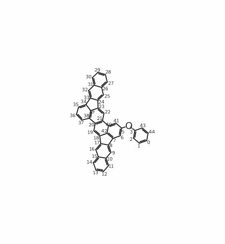 c1ccc(Oc2cc3c4cc5ccccc5cc4c4cc5c(cc6c7cc8ccccc8cc7c7cccc5c76)c(c2)c34)cc1